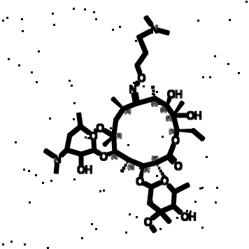 CC[C@H]1OC(=O)[C@H](C)[C@@H](OC2CC(C)(OC)C(O)C(C)O2)[C@H](C)[C@@H](OC2OC(C)CC(N(C)C)C2O)[C@](C)(OC)C[C@@H](C)C(=NOCCCN(C)C)[C@H](C)[C@@H](O)[C@]1(C)O